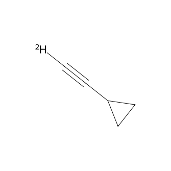 [2H]C#CC1CC1